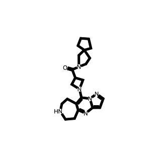 O=C(C1CN(c2c3c(nc4ccnn24)CCNCC3)C1)N1CCC2(CCCC2)C1